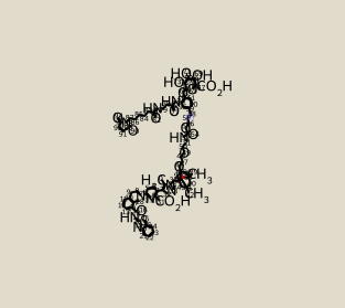 Cc1c(-c2ccc(N3CCc4cccc(C(=O)Nc5nc6ccccc6s5)c4C3)nc2C(=O)O)cnn1CC12CC3(C)CC(C)(C1)CC(OCCOCCNC(=O)OC/C=C/c1ccc(OC4O[C@H](C(=O)O)[C@@H](O)[C@H](O)[C@@H]4O)c(NC(=O)CCNC(=O)CCCCCN4C(=O)C=CC4=O)c1)(C3)C2